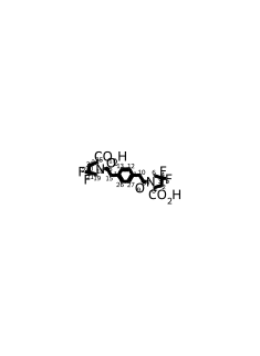 O=C(O)[C@H]1CC(F)(F)CN1C(=O)Cc1ccc(CC(=O)N2CC(F)(F)C[C@@H]2C(=O)O)cc1